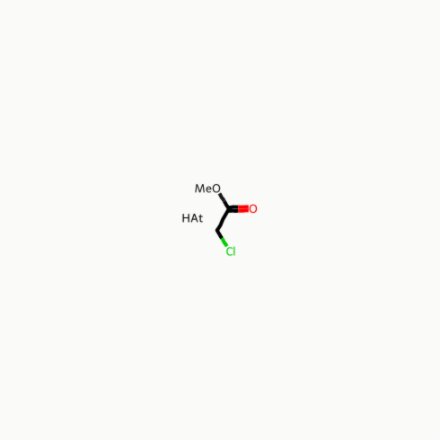 COC(=O)CCl.[AtH]